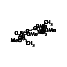 C/C=C/C1=CN(C(=O)c2cc(OC)c(OCCCCCOc3cc([N+](=O)[O-])c(C(=O)N4C=C(/C=C/C)CC4C(=O)OC)cc3OC)cc2[N+](=O)[O-])C(C(=O)OC)C1